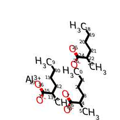 CCCCC(C)C(=O)[O-].CCCCC(C)C(=O)[O-].CCCCC(C)C(=O)[O-].[Al+3]